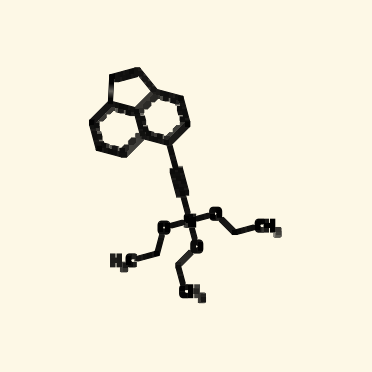 CCO[Si](C#Cc1ccc2c3c(cccc13)C=C2)(OCC)OCC